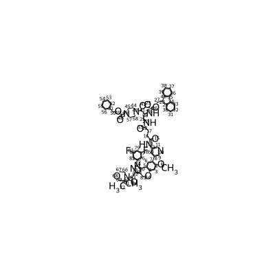 COc1cc2c(cc1-c1cncc(NC(=O)CCC(=O)NC[C@H](NC(=O)OCC3c4ccccc4-c4ccccc43)C(=O)N3CCN(C(=O)OCc4ccccc4)CC3)c1)-c1c(c(C(=O)N3CCOCC3(C)C)nn1-c1cc(F)cc(F)c1)CO2